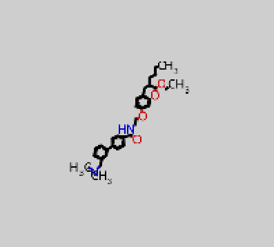 CCCCC(Cc1ccc(OCCNC(=O)c2ccc(-c3cccc(CN(C)C)c3)cc2)cc1)C(=O)OCC